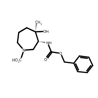 C[C@@]1(O)CCCN(C(=O)O)C[C@H]1NC(=O)OCc1ccccc1